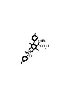 Cc1ccc(-c2c(C)c3c(c(C)c2[C@H](OC(C)(C)C)C(=O)O)CN(S(=O)(=O)c2ccc(F)cc2)C3)cc1